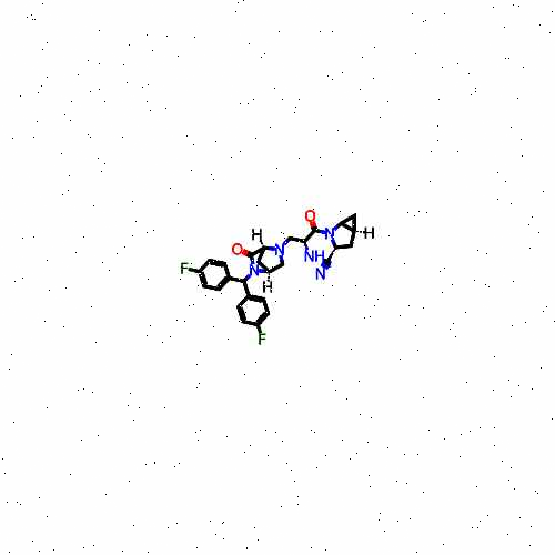 N#C[C@@H]1C[C@@H]2CC2N1C(=O)[C@@H](N)CN1C[C@@H]2C[C@H]1C(=O)N2C(c1ccc(F)cc1)c1ccc(F)cc1